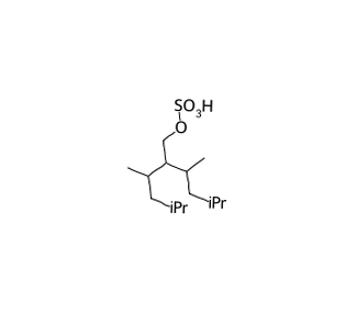 CC(C)CC(C)C(COS(=O)(=O)O)C(C)CC(C)C